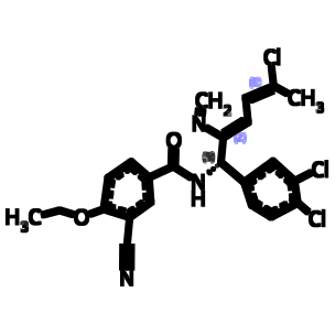 C=N/C(=C\C=C(/C)Cl)[C@@H](NC(=O)c1ccc(OCC)c(C#N)c1)c1ccc(Cl)c(Cl)c1